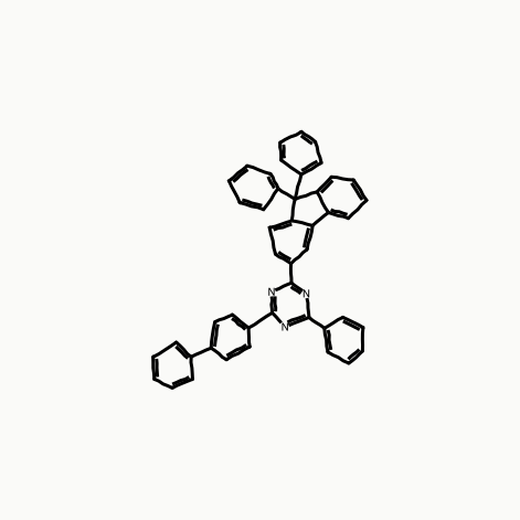 c1ccc(-c2ccc(-c3nc(-c4ccccc4)nc(-c4ccc5c(c4)-c4ccccc4C5(c4ccccc4)c4ccccc4)n3)cc2)cc1